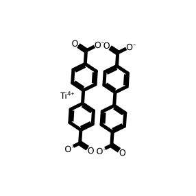 O=C([O-])c1ccc(-c2ccc(C(=O)[O-])cc2)cc1.O=C([O-])c1ccc(-c2ccc(C(=O)[O-])cc2)cc1.[Ti+4]